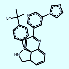 CC(C)(C#N)c1ccc(N2NCC3C=CC=C4N=C(c5cncc(-n6ccnc6)c5)C=CC432)cc1